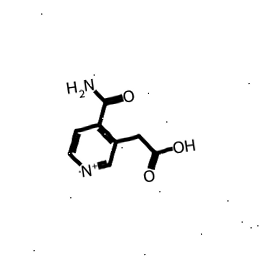 NC(=O)C1=C(CC(=O)O)C=[N+]C=C1